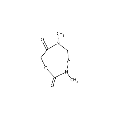 CN1CCN(C)C(=O)CCC1=O